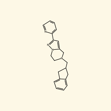 c1ccc(-c2cc3n(n2)CCN(CC2Cc4ccccc4C2)C3)nc1